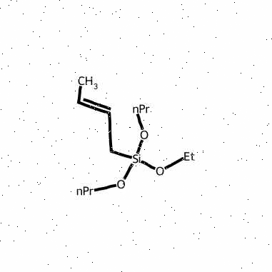 CC=CC[Si](OCC)(OCCC)OCCC